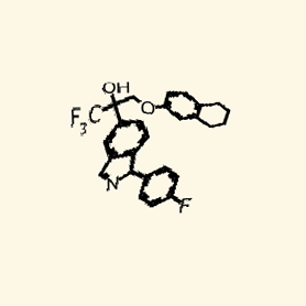 OC(COc1ccc2c(c1)CCCC2)(c1ccc2c(c1)C=NC2c1ccc(F)cc1)C(F)(F)F